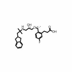 C[C@@H](OC[C@@H](O)CNC(C)(C)CC1Cc2ccccc2C1)c1ccc(F)cc1CCC(=O)O